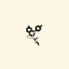 CCOC(=O)NN1CN(c2ccc(C)cc2)c2cc(Cl)ccc2C1=O